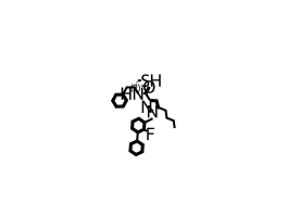 CCCCc1cc(C(=O)N[C@@H](CS)Cc2ccccc2)nn1Cc1cccc(-c2ccccc2)c1F